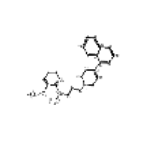 COc1cccnc1N(C)CCCN1CC=C(c2cccc3ccccc23)CC1